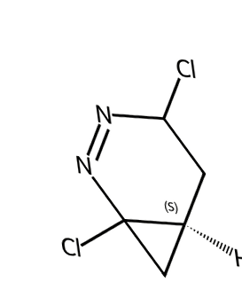 ClC1C[C@H]2CC2(Cl)N=N1